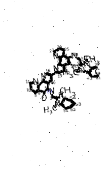 CN1C(=C/N=C2\C(=O)c3cccnc3-c3ncc(-c4ccc5c6c(c7cccnc7c5n4)N=CC4(O6)N(C)c5ccccc5N4C)cc32)N(C)c2ccccc21